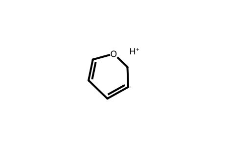 [C]1=CC=COC1.[H+]